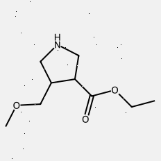 CCOC(=O)C1CNCC1COC